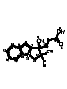 CC1(CCC(=O)O)c2cc3ccccc3n2CC1(F)F